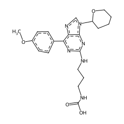 COc1ccc(-c2nc(NCCCNC(=O)O)nc3c2ncn3C2CCCCO2)cc1